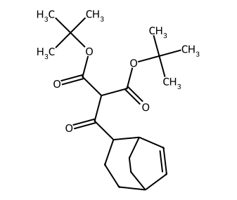 CC(C)(C)OC(=O)C(C(=O)OC(C)(C)C)C(=O)C1CCC2C=CC1CC2